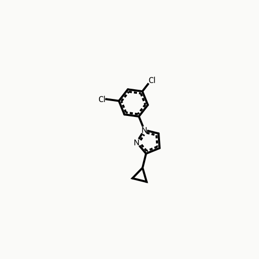 Clc1cc(Cl)cc(-n2ccc(C3CC3)n2)c1